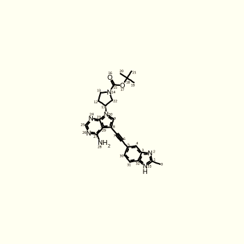 Cc1nc2cc(C#Cc3cn([C@H]4CCN(C(=O)OC(C)(C)C)C4)c4ncnc(N)c34)ccc2[nH]1